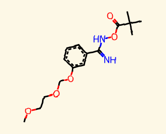 COCCOCOc1cccc(C(=N)NOC(=O)C(C)(C)C)c1